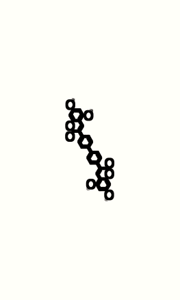 COc1cc(OC)c2cc(-c3ccc(-c4ccc(-c5cc6c(OC)cc(OC)cc6oc5=O)cc4)cc3)c(=O)oc2c1